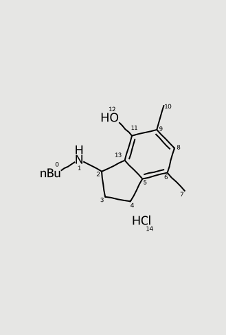 CCCCNC1CCc2c(C)cc(C)c(O)c21.Cl